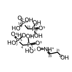 O=P(O)(O)CP(=O)(O)O.O=P(O)(O)CP(=O)(O)O.[O-][NH+]=CCO